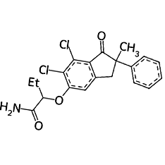 CCC(Oc1cc2c(c(Cl)c1Cl)C(=O)C(C)(c1ccccc1)C2)C(N)=O